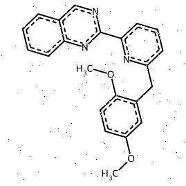 COc1ccc(OC)c(Cc2cccc(-c3ncc4ccccc4n3)n2)c1